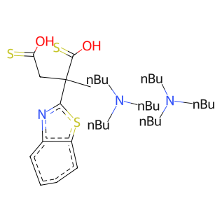 CC(CC(O)=S)(C(O)=S)c1nc2ccccc2s1.CCCCN(CCCC)CCCC.CCCCN(CCCC)CCCC